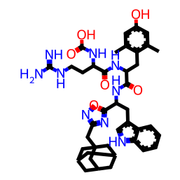 Cc1cc(O)cc(C)c1CC(NC(=O)C(CCNC(=N)N)NC(=O)O)C(=O)NC(Cc1c[nH]c2ccccc12)c1nc(CC23CC4CC(CC(C4)C2)C3)no1